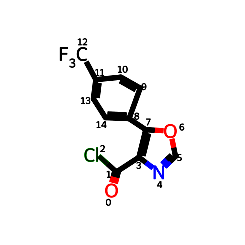 O=C(Cl)c1ncoc1-c1ccc(C(F)(F)F)cc1